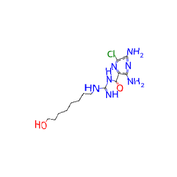 N=C(NCCCCCCCCO)NC(=O)c1nc(Cl)c(N)nc1N